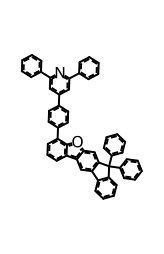 c1ccc(-c2cc(-c3ccc(-c4cccc5c4oc4cc6c(cc45)-c4ccccc4C6(c4ccccc4)c4ccccc4)cc3)cc(-c3ccccc3)n2)cc1